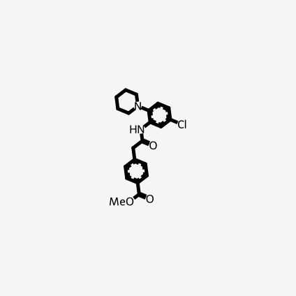 COC(=O)c1ccc(CC(=O)Nc2cc(Cl)ccc2N2CCCCC2)cc1